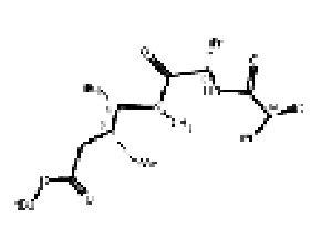 CCC(C)[C@@H]([C@@H](CC(=O)OC(C)(C)C)OC)N(C)C(=O)[C@@H](NC(=O)[C@@H](CC)C(C)C)C(C)C